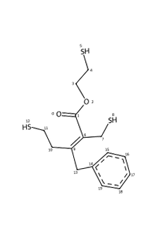 O=C(OCCS)C(CS)=C(CCS)Cc1ccccc1